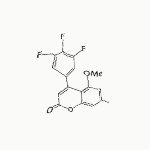 COc1cc(C)cc2oc(=O)cc(-c3cc(F)c(F)c(F)c3)c12